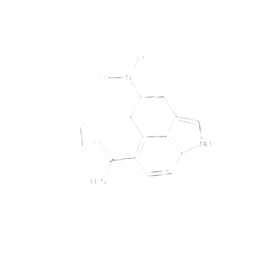 CC(=O)O.CCN(CC)C1Cc2c[nH]c3ccc(C(N)=O)c(c23)C1